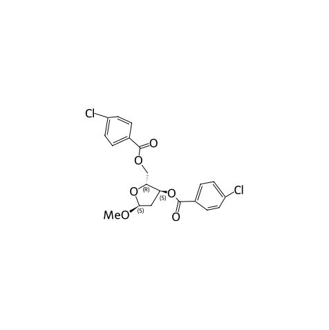 CO[C@@H]1C[C@H](OC(=O)c2ccc(Cl)cc2)[C@@H](COC(=O)c2ccc(Cl)cc2)O1